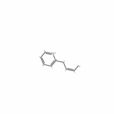 C/C=C\Cc1ccccn1